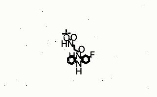 CC(C)(C)OC(=O)NCCC(=O)Nc1cc(F)ccc1Nc1ccccc1